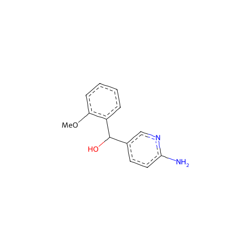 COc1ccccc1C(O)c1ccc(N)nc1